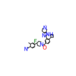 CC1C=C(C2(F)CCN(C(=O)c3ccc(C4CCC4)c(-c4nc5c([nH]4)CN(C)CC5)c3)CC2)C=CC1C#N